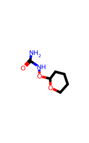 NC(=O)NOC1CCCCO1